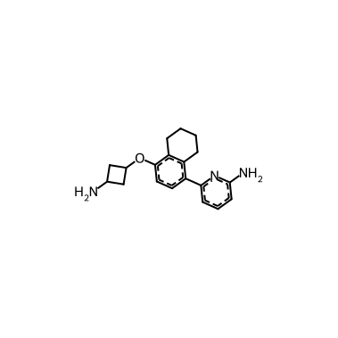 Nc1cccc(-c2ccc(OC3CC(N)C3)c3c2CCCC3)n1